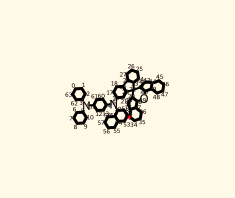 c1ccc(N(c2ccccc2)c2ccc(N(c3ccc4c(c3)C3(c5ccccc5-4)c4ccc5ccccc5c4Oc4c3ccc3ccccc43)c3cccc4ccccc34)cc2)cc1